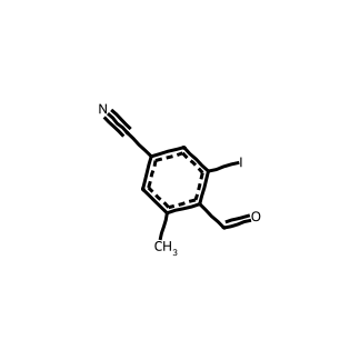 Cc1cc(C#N)cc(I)c1C=O